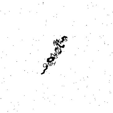 CCCCC(=O)Nc1ccc2nc(N3CCN(C(CC)c4nnnn4Cc4cccs4)CC3)sc2c1